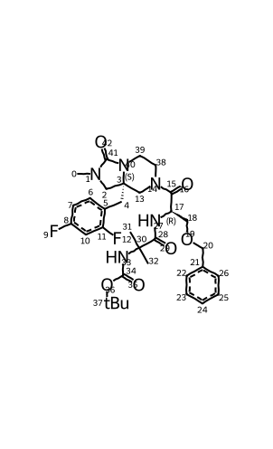 CN1C[C@]2(Cc3ccc(F)cc3F)CN(C(=O)[C@@H](COCc3ccccc3)NC(=O)C(C)(C)NC(=O)OC(C)(C)C)CCN2C1=O